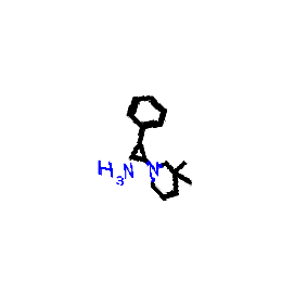 CC1(C)CCCN(C2CC2c2ccccc2)C1.N